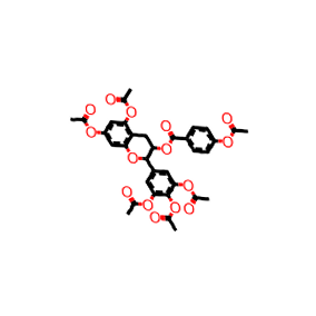 CC(=O)Oc1ccc(C(=O)OC2Cc3c(OC(C)=O)cc(OC(C)=O)cc3OC2c2cc(OC(C)=O)c(OC(C)=O)c(OC(C)=O)c2)cc1